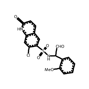 COc1ccccc1C(C=O)NS(=O)(=O)c1cc2ccc(=O)[nH]c2cc1Cl